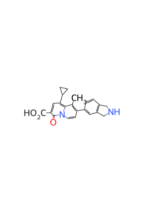 Cc1c(-c2ccc3c(c2)CNC3)ccn2c(=O)c(C(=O)O)cc(C3CC3)c12